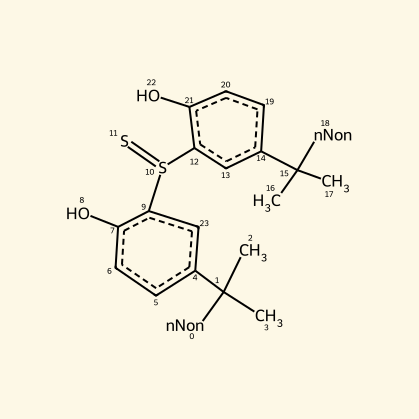 CCCCCCCCCC(C)(C)c1ccc(O)c(S(=S)c2cc(C(C)(C)CCCCCCCCC)ccc2O)c1